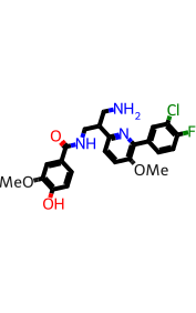 COc1cc(C(=O)NCC(CN)c2ccc(OC)c(-c3ccc(F)c(Cl)c3)n2)ccc1O